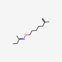 C=C(C)CCCCCO/N=C(\C)CC